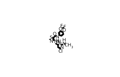 CNc1nc(Cl)cc(CNc2ncsc2C(=O)Nc2ccc3c(c2)OC(F)(F)O3)n1